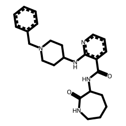 O=C(NC1CCCCNC1=O)c1cccnc1NC1CCN(Cc2ccccc2)CC1